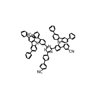 N#Cc1ccc(-c2ccc(-c3nc(-c4ccc(-c5cccc(C#N)c5)c(-n5c6ccc(-c7ccccc7)cc6c6cc(-c7ccccc7)ccc65)c4)nc(-c4ccc(-c5cccc(C#N)c5)c(-n5c6ccc(-c7ccccc7)cc6c6cc(-c7ccccc7)ccc65)c4)n3)cc2)cc1